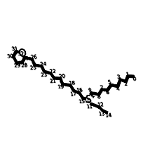 CCCCCCCCCC[S+](CCCC)CCCCCCCCCCCCC1CCCCO1